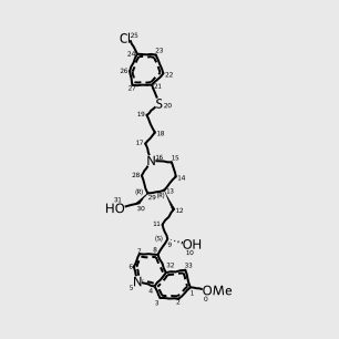 COc1ccc2nccc([C@@H](O)CC[C@@H]3CCN(CCCSc4ccc(Cl)cc4)C[C@@H]3CO)c2c1